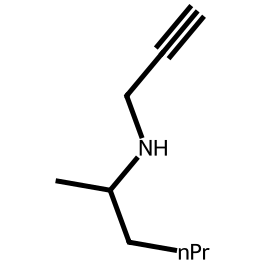 C#CCNC(C)CCCC